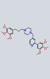 COc1cc(CCCN2CCN(Cc3ccnc(-c4cc(OC)c(OC)c(OC)c4)c3)CC2)cc(OC)c1OC